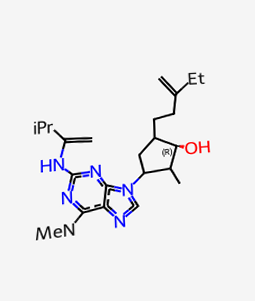 C=C(CC)CCC1CC(n2cnc3c(NC)nc(NC(=C)C(C)C)nc32)C(C)[C@@H]1O